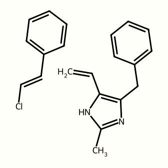 C=Cc1[nH]c(C)nc1Cc1ccccc1.ClC=Cc1ccccc1